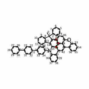 CC1(c2ccccc2)c2ccccc2-c2c(N(c3ccc(-c4ccc(-c5ccccc5)cc4)cc3)c3ccccc3-c3cc4c5c(cccc5c3)Oc3ccccc3-4)cccc21